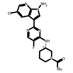 CC(C)(C)C(=O)N1CCC[C@H](Nc2nc(-c3cn(N)c4ncc(Cl)cc34)ncc2F)C1